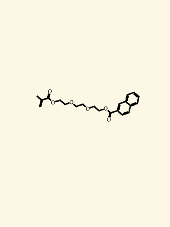 C=C(C)C(=O)OCCOCCOCCOC(=O)c1ccc2ccccc2c1